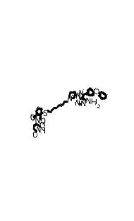 Nc1ncnc2c1c(-c1ccc(Oc3ccccc3)cc1)nn2[C@@H]1CCCN(CCCCCCCCSc2cccc3c2C(=O)N(C2CCC(=O)NC2=O)C3=O)C1